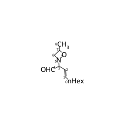 CCCCCCC=CC(C=O)N1CC(C)O1